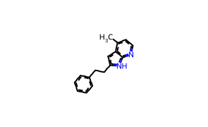 Cc1ccnc2[nH]c(CCc3ccccc3)cc12